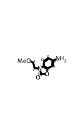 COCCn1c(=O)oc2cc(N)ccc21